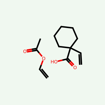 C=CC1(C(=O)O)CCCCC1.C=COC(C)=O